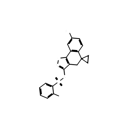 O=S(=O)(Nc1noc2c1CC1(CC1)c1ccc(Br)cc1-2)c1ccccc1Cl